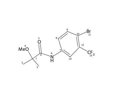 COC(C)(C)C(=O)Nc1ccc(Br)c(C(F)(F)F)c1